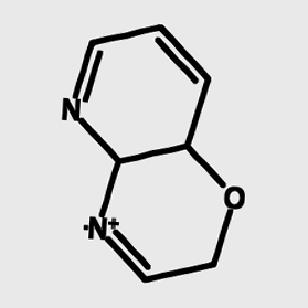 C1=CC2OCC=[N+]C2N=C1